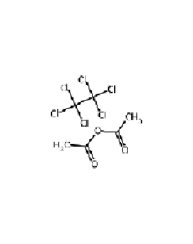 CC(=O)OC(C)=O.ClC(Cl)(Cl)C(Cl)(Cl)Cl